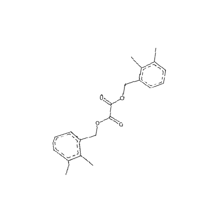 Cc1cccc(COC(=O)C(=O)OCc2cccc(C)c2C)c1C